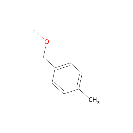 Cc1ccc(COF)cc1